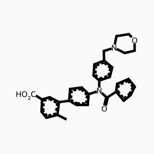 Cc1ccc(C(=O)O)cc1-c1ccc(N(C(=O)c2ccccc2)c2ccc(CN3CCOCC3)cc2)cc1